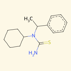 CC(c1ccccc1)N(C(N)=S)C1CCCCC1